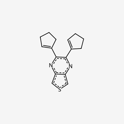 C1=C(c2nc3cscc3nc2C2=CCCC2)CCC1